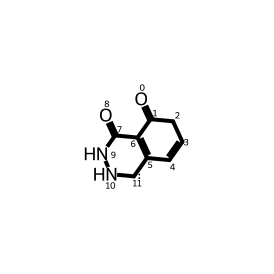 O=C1CC=CC2=C1C(=O)NN[C]2